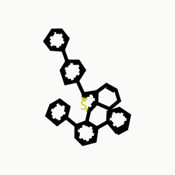 c1cccc(-c2cccc(-c3ccccc3)c2-c2sc(-c3ccc(-c4ccccc4)cc3)c3c2CCC=C3)c#1